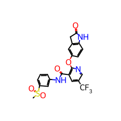 CS(=O)(=O)c1cccc(NC(=O)c2cc(C(F)(F)F)cnc2Oc2ccc3c(c2)CC(=O)N3)c1